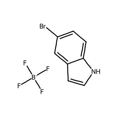 Brc1ccc2[nH]ccc2c1.F[B-](F)(F)F